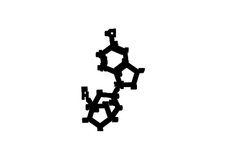 Clc1cc2c(nn1)N([C@H]1CC3CC[C@@H](C3)C1)CC2